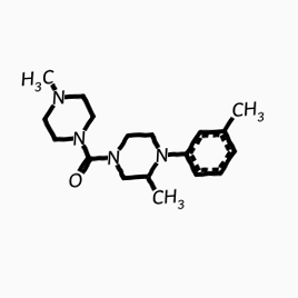 Cc1cccc(N2CCN(C(=O)N3CCN(C)CC3)CC2C)c1